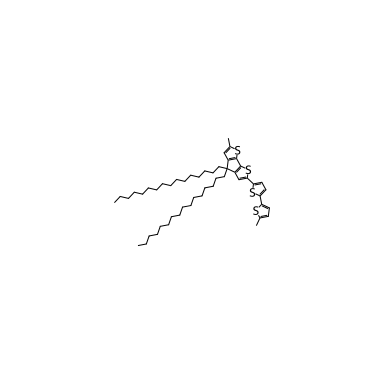 CCCCCCCCCCCCCCCCC1(CCCCCCCCCCCCCCCC)c2cc(C)sc2-c2sc(-c3ccc(-c4ccc(C)s4)s3)cc21